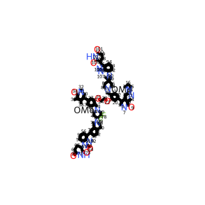 COc1cc(-c2cn(C)c(=O)c3cnc(N4CCC4)cc23)cc(OCCOc2cc(-c3cn(C)c(=O)c(C)c3C)cc(OC)c2CN2CCC(N3CCc4ccc(-c5cccc6c5n(C)c(=O)n6C5CCC(=O)NC5=O)cc4C3)C(F)(F)C2)c1CN1CCC2(CC1)CN(c1cccc3c(C4CCC(=O)NC4=O)nn(C)c13)C2